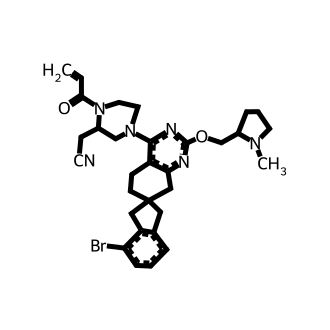 C=CC(=O)N1CCN(c2nc(OCC3CCCN3C)nc3c2CCC2(Cc4cccc(Br)c4C2)C3)CC1CC#N